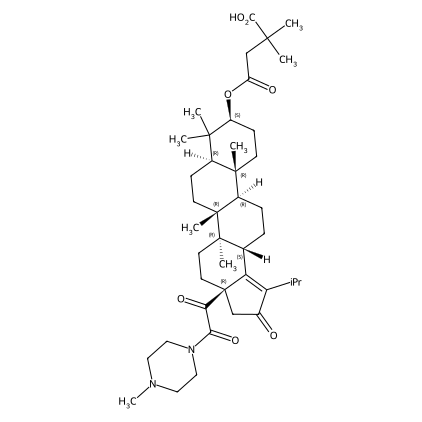 CC(C)C1=C2[C@H]3CC[C@@H]4[C@@]5(C)CC[C@H](OC(=O)CC(C)(C)C(=O)O)C(C)(C)[C@@H]5CC[C@@]4(C)[C@]3(C)CC[C@@]2(C(=O)C(=O)N2CCN(C)CC2)CC1=O